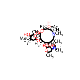 CC[C@H]1OC(=O)[C@H](C)[C@@H](O[C@H]2C[C@@](C)(OC)[C@@H](O)[C@H](C)O2)[C@H](C)[C@@H](O[C@@H]2O[C@H](C)C[C@H](N(C)C)[C@H]2O)[C@](C)(O)C[C@@H](C)CN(C)[C@H](C)[C@@H](CC(C)=O)[C@]1(C)O